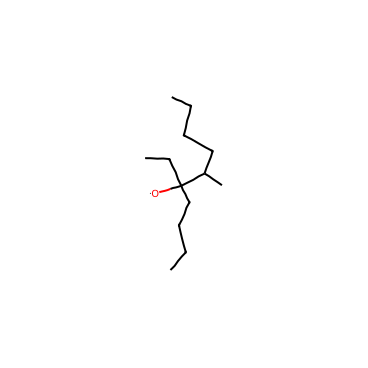 CCCCC(C)C([O])(CC)CCCC